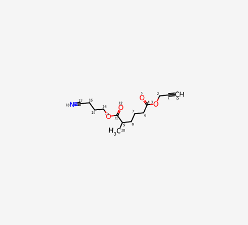 C#CCOC(=O)CCCC(C)C(=O)OCCCC#N